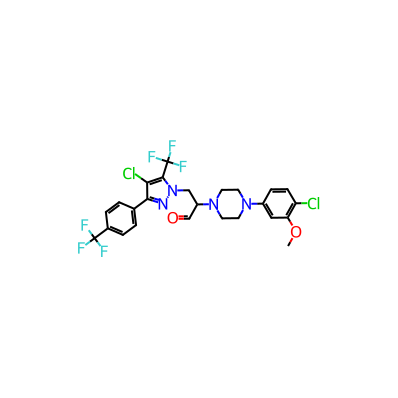 COc1cc(N2CCN(C(C=O)Cn3nc(-c4ccc(C(F)(F)F)cc4)c(Cl)c3C(F)(F)F)CC2)ccc1Cl